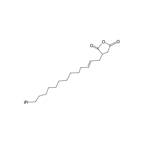 CC(C)CCCCCCCCCC/C=C/CC1CC(=O)OC1=O